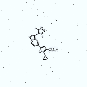 Cc1noc(C)c1-c1cnn2ccc(-c3cc(C(=O)O)c(C4CC4)o3)cc12